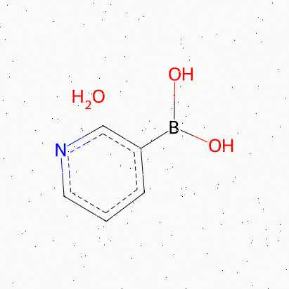 O.OB(O)c1cccnc1